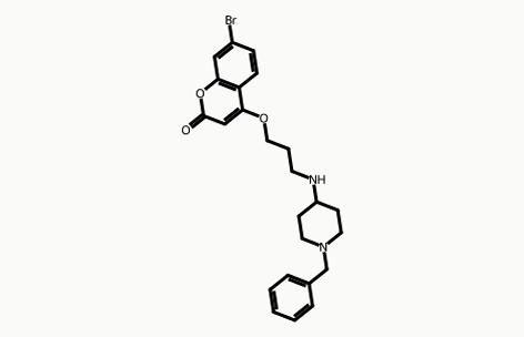 O=c1cc(OCCCNC2CCN(Cc3ccccc3)CC2)c2ccc(Br)cc2o1